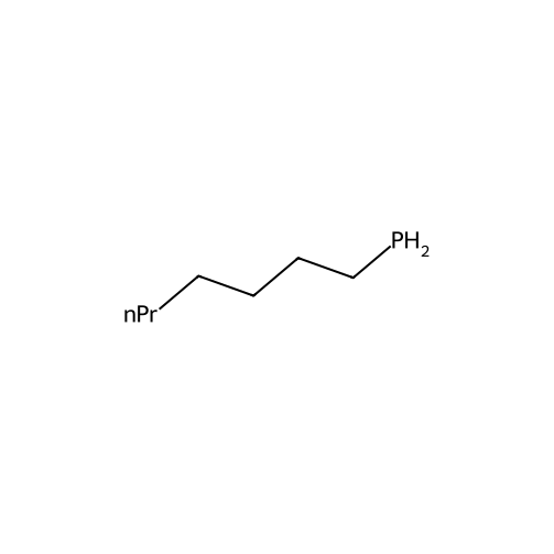 CCCCCCCP